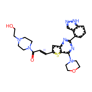 O=C(/C=C/c1cc2nc(-c3cccc4[nH]ncc34)nc(N3CCOCC3)c2s1)N1CCN(CCO)CC1